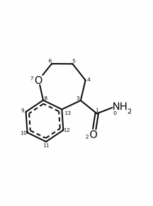 NC(=O)C1CCCOc2ccccc21